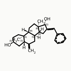 C=C1C[C@@H]2[C@H]3CC(=Cc4ccccc4)[C@@H](O)[C@]3(C)CC[C@H]2[C@]2(C)CC[C@H](O)C[C@@H]12